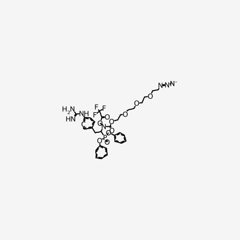 [N-]=[N+]=NCCOCCOCCOCCOC(=O)N(OC(=O)C(F)(F)F)C(Cc1ccc(NC(=N)N)cc1)P(=O)(Oc1ccccc1)Oc1ccccc1